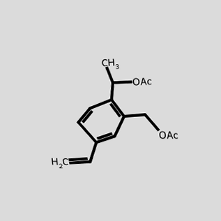 C=Cc1ccc(C(C)OC(C)=O)c(COC(C)=O)c1